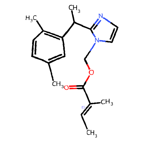 C/C=C(\C)C(=O)OCn1ccnc1C(C)c1cc(C)ccc1C